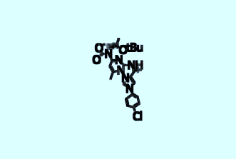 Cc1cc(N2C(=O)OC[C@@H]2[C@@H](C)OC(C)(C)C)nc(N[C@@H](C)c2cn(-c3ccc(Cl)cc3)cn2)n1